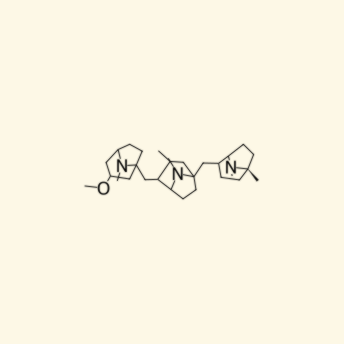 COC1CC2CCC(CC3C(C)CC4(CC5CC[C@@]6(C)CCC5N6C)CCC3N4C)(C1)N2C